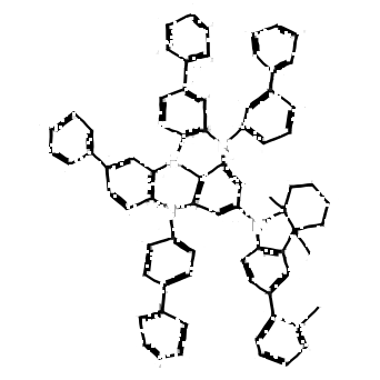 Cc1ccccc1-c1ccc2c(c1)C1(C)CCCCC1(C)N2c1cc2c3c(c1)N(c1cccc(-c4ccccc4)c1)c1cc(-c4ccccc4)ccc1B3c1cc(-c3ccccc3)ccc1N2c1ccc(-c2ccccc2)cc1